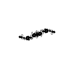 C=CC(=O)OCOc1ccc(C(=O)Oc2c(F)cc(C(c3cc(F)c(OC(=O)c4ccc(OCOC(=O)C=C)cc4C)c(F)c3)(C(F)(F)F)C(F)(F)F)cc2F)c(C)c1